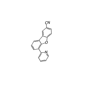 N#Cc1ccc2oc3c(-c4ccccn4)cccc3c2c1